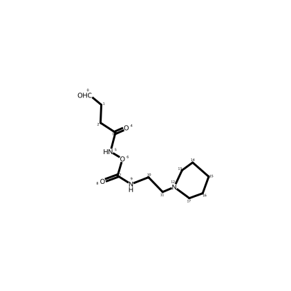 O=CCCC(=O)NOC(=O)NCCN1CCCCC1